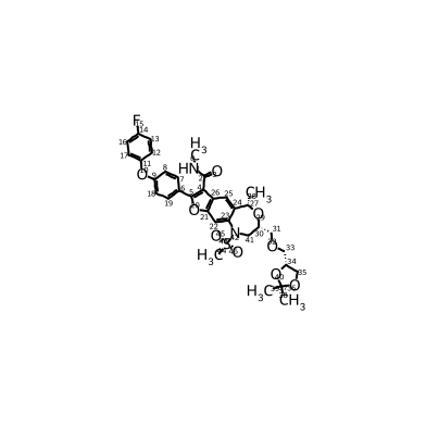 CNC(=O)c1c(-c2ccc(Oc3ccc(F)cc3)cc2)oc2cc3c(cc12)[C@H](C)O[C@H](COC[C@@H]1COC(C)(C)O1)CN3S(C)(=O)=O